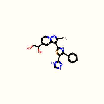 Cc1nn2ccc(C(O)CO)cc2c1-c1nc(-c2ccccc2)c(-c2nnc[nH]2)s1